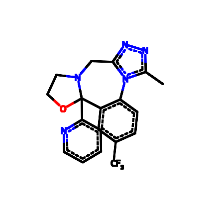 Cc1nnc2n1-c1ccc(C(F)(F)F)cc1C1(c3ccccn3)OCCN1C2